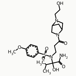 COc1ccc(S(=O)(=O)N(CCC(=O)N2CC3CC2CN3CCO)C(O)(C(N)=O)C(C)C)cc1